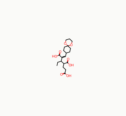 CCC(C(=CC1CCC2(CC1)OCCCO2)C(=O)O)C(CCC(=O)O)C(=O)O